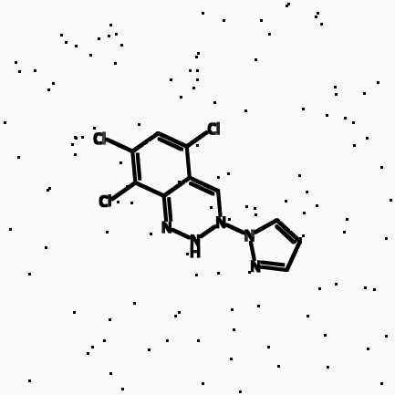 Clc1cc(Cl)c2c(c1Cl)=NNN(n1cccn1)C=2